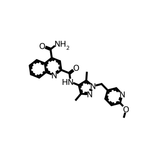 COc1ccc(Cn2nc(C)c(NC(=O)c3cc(C(N)=O)c4ccccc4n3)c2C)cn1